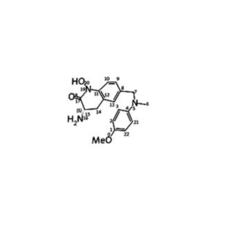 COc1ccc(N(C)Cc2ccc3c(c2)C[C@H](N)C(=O)N3O)cc1